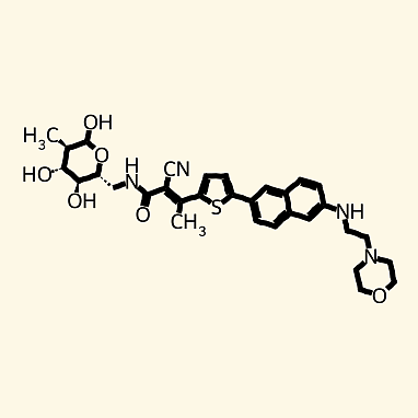 C/C(=C(/C#N)C(=O)NC[C@H]1OC(O)[C@H](C)[C@@H](O)[C@@H]1O)c1ccc(-c2ccc3cc(NCCN4CCOCC4)ccc3c2)s1